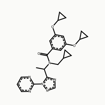 CC(c1ncnn1-c1ncccn1)N(CC1CC1)C(=O)c1cc(OC2CC2)cc(OC2CC2)c1